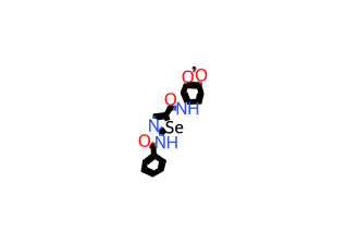 O=C(Nc1ncc(C(=O)Nc2ccc3c(c2)OCO3)[se]1)c1ccccc1